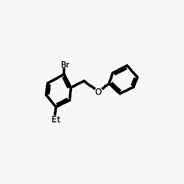 CCc1ccc(Br)c(COc2ccccc2)c1